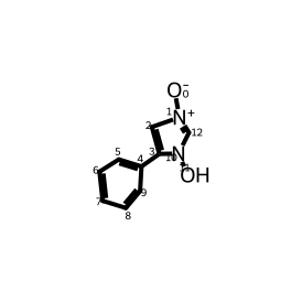 [O-][n+]1cc(-c2ccccc2)n(O)c1